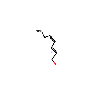 CCCCC/C=C\C=C\CO